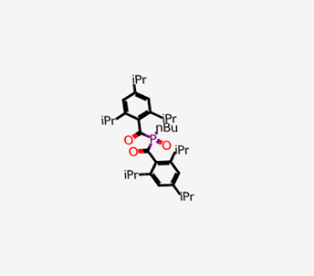 CCCCP(=O)(C(=O)c1c(C(C)C)cc(C(C)C)cc1C(C)C)C(=O)c1c(C(C)C)cc(C(C)C)cc1C(C)C